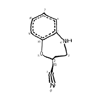 N#C[C@@H]1CNc2ccccc2O1